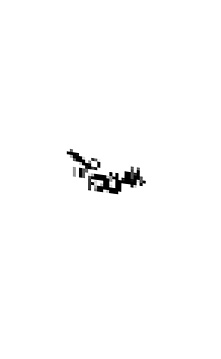 CC#CC(=O)Nc1cc2nc(-c3cnn(C)c3)ccc2cn1